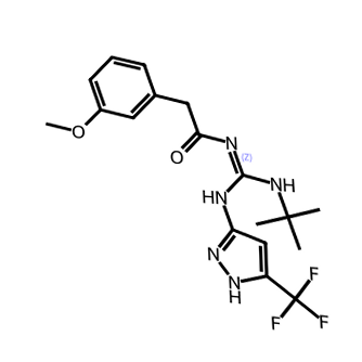 COc1cccc(CC(=O)/N=C(\Nc2cc(C(F)(F)F)[nH]n2)NC(C)(C)C)c1